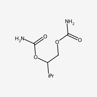 CC(C)C(COC(N)=O)OC(N)=O